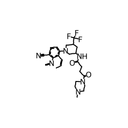 C=Nc1c(C#N)ccc(N2CC(NC(=O)CCC(=O)N3CCN(C)CC3)CC(C(F)(F)F)C2)c1/C=C\C